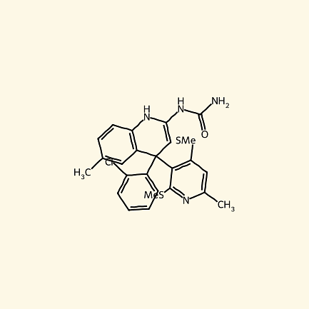 CSc1cc(C)nc(SC)c1C1(c2ccccc2Cl)C=C(NC(N)=O)Nc2ccc(C)cc21